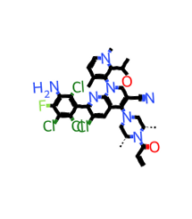 C=CC(=O)N1[C@H](C)CN(c2c(C#N)c(=O)n(C3=C(C)C=CN(C)C3C(C)C)c3nc(-c4c(Cl)c(N)c(F)c(Cl)c4Cl)c(Cl)cc23)C[C@@H]1C